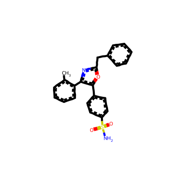 Cc1ccccc1-c1nc(Cc2ccccc2)oc1-c1ccc(S(N)(=O)=O)cc1